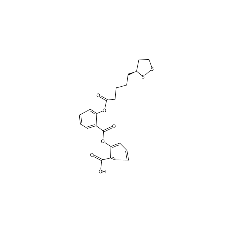 O=C(CCCC[C@H]1CCSS1)Oc1ccccc1C(=O)Oc1ccccc1C(=O)O